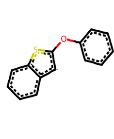 [c]1c(Oc2ccccc2)sc2ccccc12